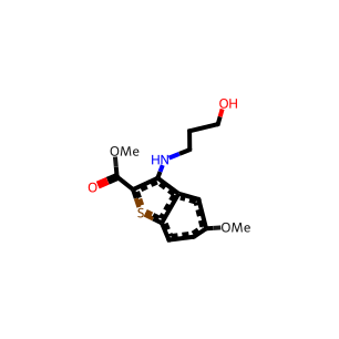 COC(=O)c1sc2ccc(OC)cc2c1NCCCO